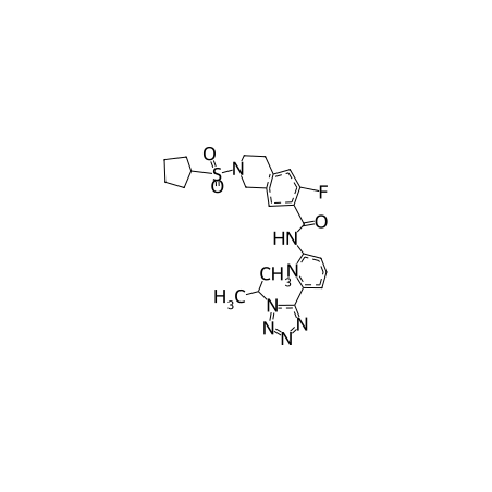 CC(C)n1nnnc1-c1cccc(NC(=O)c2cc3c(cc2F)CCN(S(=O)(=O)C2CCCC2)C3)n1